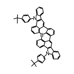 CC(C)(C)c1ccc(-n2c3ccccc3c3cc4c5c(cccc5c32)B2c3c-4cccc3-c3cc4c5ccccc5n(-c5ccc(C(C)(C)C)cc5)c4c4cccc2c34)cc1